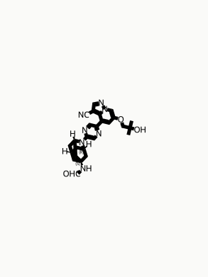 CC(C)(O)COc1cc(-c2cnc(N3[C@@H]4C[C@@H]5C[C@H]3C[C@@](NC=O)(C5)C4)cn2)c2c(C#N)cnn2c1